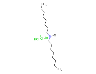 CCCCCCCC[N]([Ti])CCCCCCCC.Cl.Cl.Cl